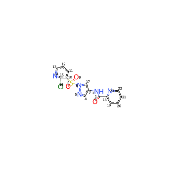 O=C(Nc1cnn(S(=O)(=O)c2cccnc2Cl)c1)c1ccccn1